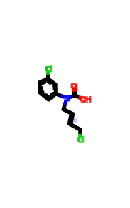 O=C(O)N(C/C=C/CCl)c1cccc(Cl)c1